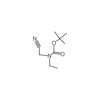 CCN(CC#N)C(=O)OC(C)(C)C